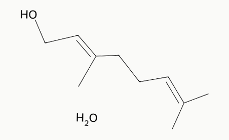 CC(C)=CCC/C(C)=C/CO.O